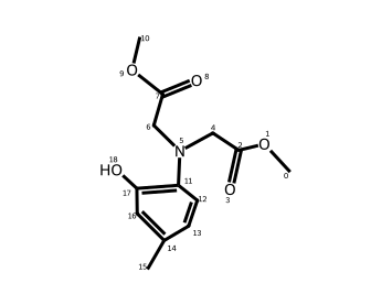 COC(=O)CN(CC(=O)OC)c1ccc(C)cc1O